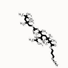 CC(C)NC(=O)C(CC(C)(C)C(C)(C)C(=O)OCCCN=[N+]=[N-])C(C)(C)SC(=S)SCC(C)(C)CC(C)(C)C